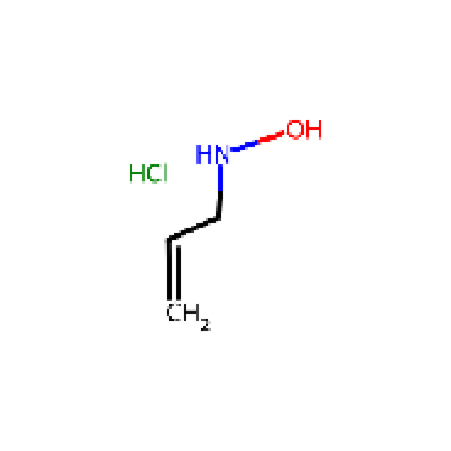 C=CCNO.Cl